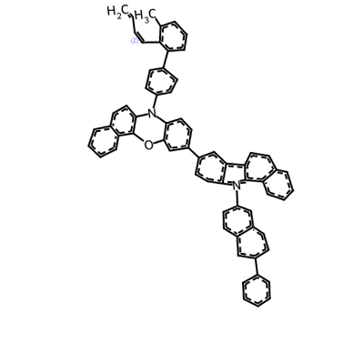 C=C/C=C\c1c(C)cccc1-c1ccc(N2c3ccc(-c4ccc5c(c4)c4ccc6ccccc6c4n5-c4ccc5cc(-c6ccccc6)ccc5c4)cc3Oc3c2ccc2ccccc32)cc1